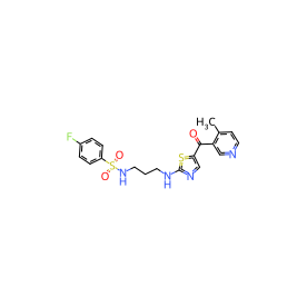 Cc1ccncc1C(=O)c1cnc(NCCCNS(=O)(=O)c2ccc(F)cc2)s1